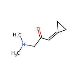 CN(C)CC(=O)C=C1CC1